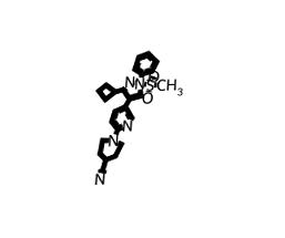 CS(=O)(=O)[N+]1(c2ccccc2)C=C(c2ccc(N3CCC(C#N)CC3)nc2)C(C2CCC2)=N1